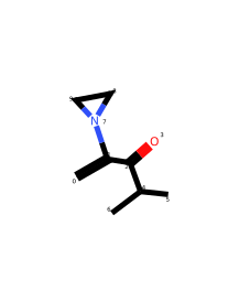 C=C(C(=O)C(C)C)N1CC1